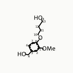 COc1cc(CO)ccc1OCCCCO